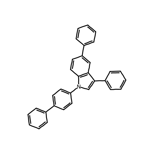 c1ccc(-c2ccc(-n3cc(-c4ccccc4)c4cc(-c5ccccc5)ccc43)cc2)cc1